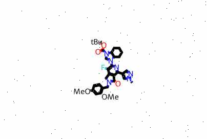 COc1ccc(CN2Cc3c(F)c(N4CN(C(=O)OC(C)(C)C)C5CCCCC54)nc(-c4cnn(C)c4)c3C2=O)c(OC)c1